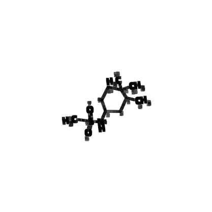 CC1CC(NS(C)(=O)=O)CCC1(C)C